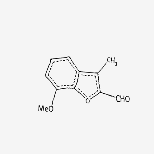 COc1cccc2c(C)c(C=O)oc12